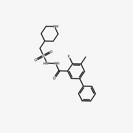 Cc1cc(-c2ccccc2)cc(C(=O)NNS(=O)(=O)CC2CCNCC2)c1F